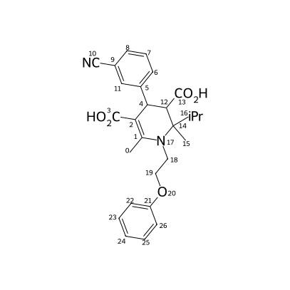 CC1=C(C(=O)O)C(c2cccc(C#N)c2)C(C(=O)O)C(C)(C(C)C)N1CCOc1ccccc1